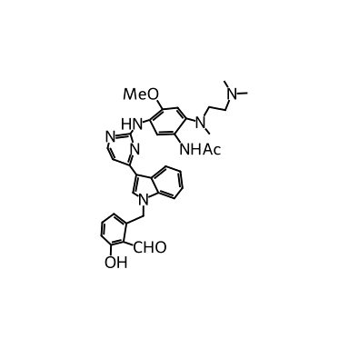 COc1cc(N(C)CCN(C)C)c(NC(C)=O)cc1Nc1nccc(-c2cn(Cc3cccc(O)c3C=O)c3ccccc23)n1